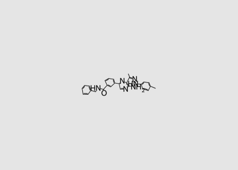 CC(=NNc1ccc(C)cc1)c1nc(-c2cccc(C(=O)NCc3ccccc3)c2)cnc1N